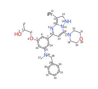 CC(O)COc1cc(C2=NC3=C(C(C)C)CNN3C(N3CCOCC3)=C2)cc(N(C)Cc2ccccc2)c1